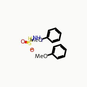 COc1ccccc1.COc1ccccc1.N[SH](=O)=O